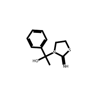 CC(O)(c1ccccc1)N1CCSC1=N